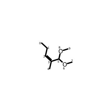 CCC=C(C)C(OC)OC